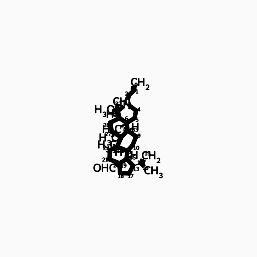 C=CCN1CC[C@]2(C)[C@H]3CC[C@@H]4[C@H]5[C@H](C(=C)C)CC[C@]5(C=O)CC[C@@]4(C)[C@]3(C)CC[C@H]2C1(C)C